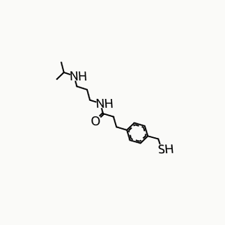 CC(C)NCCCNC(=O)CCc1ccc(CS)cc1